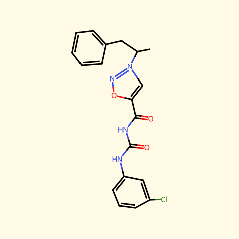 CC(Cc1ccccc1)[n+]1cc(C(=O)NC(=O)Nc2cccc(Cl)c2)on1